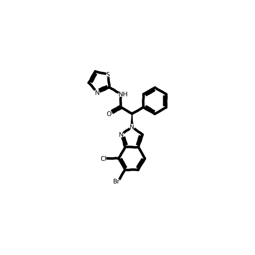 O=C(Nc1nccs1)[C@@H](c1ccccc1)n1cc2ccc(Br)c(Cl)c2n1